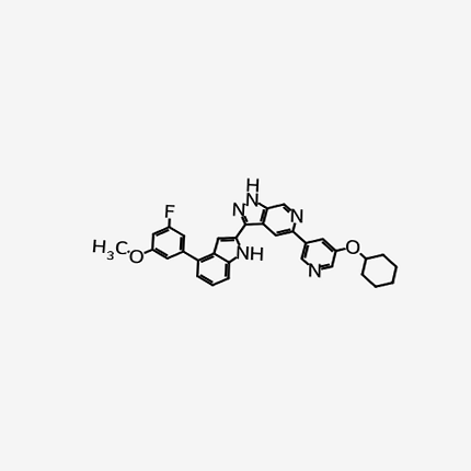 COc1cc(F)cc(-c2cccc3[nH]c(-c4n[nH]c5cnc(-c6cncc(OC7CCCCC7)c6)cc45)cc23)c1